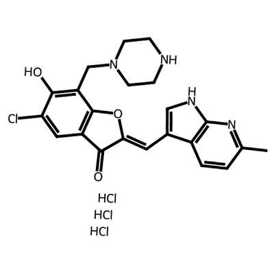 Cc1ccc2c(/C=C3\Oc4c(cc(Cl)c(O)c4CN4CCNCC4)C3=O)c[nH]c2n1.Cl.Cl.Cl